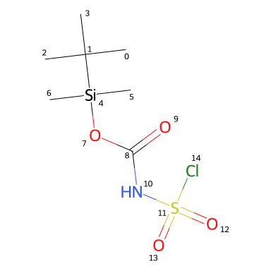 CC(C)(C)[Si](C)(C)OC(=O)NS(=O)(=O)Cl